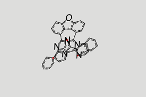 c1ccc(-c2nc(-c3ccccc3)nc(-c3cccc4oc5cccc(-c6nc7ccccc7c7nc8ccccc8n67)c5c34)n2)cc1